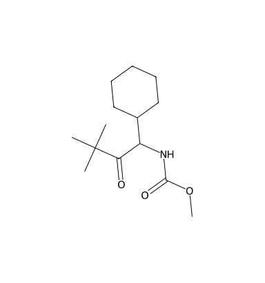 COC(=O)NC(C(=O)C(C)(C)C)C1CCCCC1